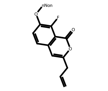 C=CCc1cc2ccc(OCCCCCCCCC)c(F)c2c(=O)o1